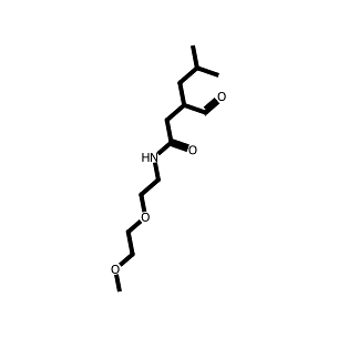 COCCOCCNC(=O)CC([C]=O)CC(C)C